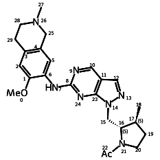 COc1cc2c(cc1Nc1ncc3cnn(C[C@@H]4[C@@H](C)CCN4C(C)=O)c3n1)CN(C)CC2